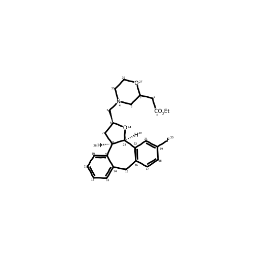 CCOC(=O)CC1CN(C[C@@H]2C[C@@H]3c4ccccc4Cc4ccc(F)cc4[C@@H]3O2)CCO1